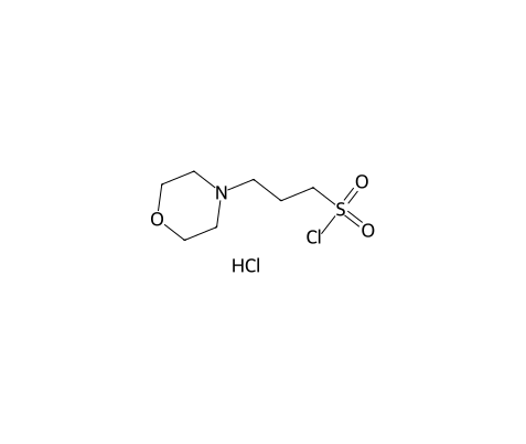 Cl.O=S(=O)(Cl)CCCN1CCOCC1